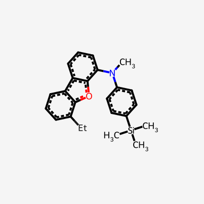 CCc1cccc2c1oc1c(N(C)c3ccc([Si](C)(C)C)cc3)cccc12